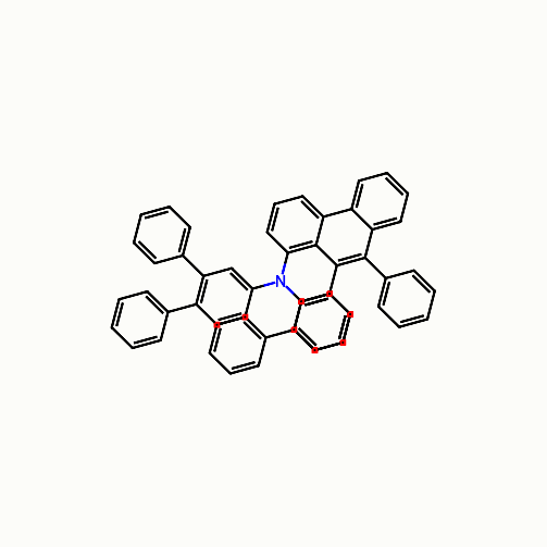 c1ccc(-c2ccc(N(c3ccccc3-c3ccccc3)c3cccc4c3c(-c3ccccc3)c(-c3ccccc3)c3ccccc34)cc2-c2ccccc2)cc1